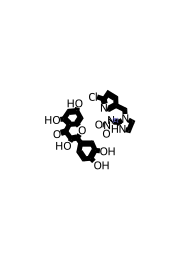 O=[N+]([O-])/N=C1\NCCN1Cc1ccc(Cl)nc1.O=c1c(O)c(-c2ccc(O)c(O)c2)oc2cc(O)cc(O)c12